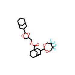 O=C(OCC1COC(C2CC3CCCC(C3)C2)O1)C12CCCC(=CC(C3OCC(F)(F)C(F)(F)CO3)C1)C2